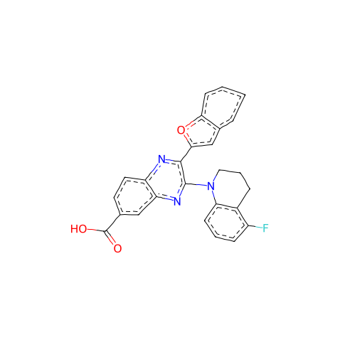 O=C(O)c1ccc2nc(-c3cc4ccccc4o3)c(N3CCCc4c(F)cccc43)nc2c1